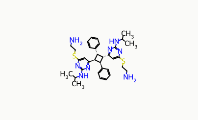 CC(C)Nc1nc(SCCN)cc([C@H]2[C@H](c3ccccc3)[C@H](c3cc(SCCN)nc(NC(C)C)n3)[C@H]2c2ccccc2)n1